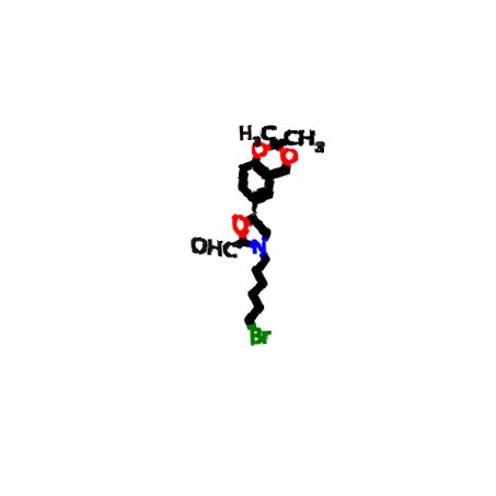 CC1(C)OCc2cc([C@@H]3CN(CCCCCCBr)C(C=O)O3)ccc2O1